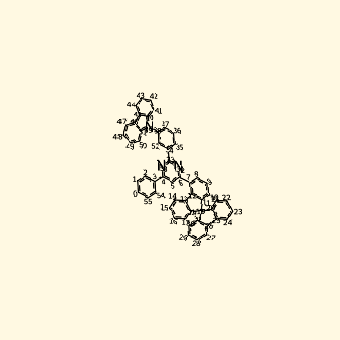 c1ccc(-c2cc(-c3cccc4c3-c3ccccc3C43c4ccccc4-c4ccccc43)nc(-c3cccc(-n4c5ccccc5c5ccccc54)c3)n2)cc1